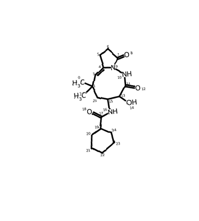 CC1(C)/C=C2/CCC(=O)N2NC(=O)C(O)C(NC(=O)C2CCCCC2)C1